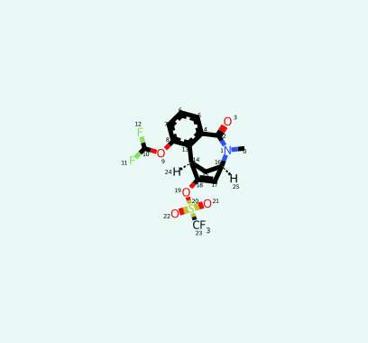 CN1C(=O)c2cccc(OC(F)F)c2[C@H]2C[C@@H]1C=C2OS(=O)(=O)C(F)(F)F